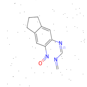 C=N/C=N\c1cc2c(cc1N=O)CCC2